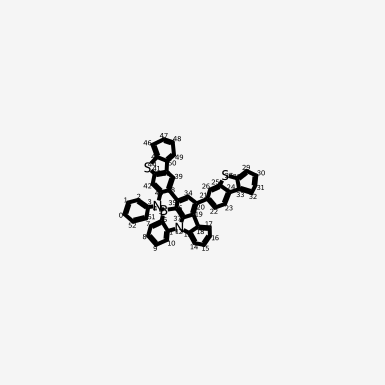 c1ccc(N2B3c4ccccc4-n4c5ccccc5c5c(-c6ccc7c(c6)sc6ccccc67)cc(c3c54)-c3cc4c(cc32)sc2ccccc24)cc1